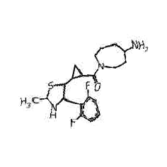 CC1NC(c2c(F)cccc2F)C(C2CC2C(=O)N2CCCC(N)CC2)S1